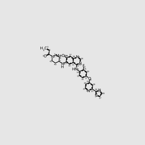 C=CC(=O)N1CCC(Nc2cc3c(Nc4ccc(Oc5ccnc(-c6nccs6)c5)cc4F)ncnc3cc2OC)CC1